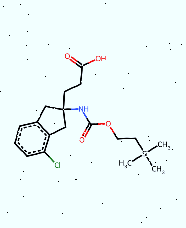 C[Si](C)(C)CCOC(=O)NC1(CCC(=O)O)Cc2cccc(Cl)c2C1